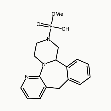 COP(=O)(O)N1CCN2c3ncccc3Cc3ccccc3C2C1